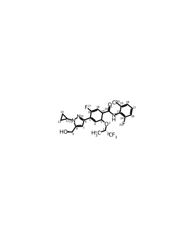 C[C@H](OC1C=C(c2cc(CO)n(C3CC3)n2)C(F)=CC1C(=O)Nc1c(F)cccc1Cl)C(F)(F)F